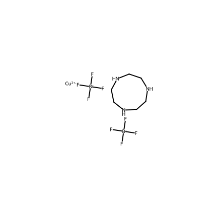 C1CNCCNCCN1.F[B-](F)(F)F.F[B-](F)(F)F.[Cu+2]